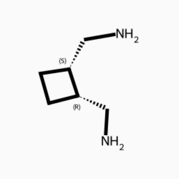 NC[C@@H]1CC[C@@H]1CN